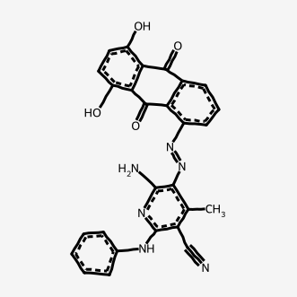 Cc1c(C#N)c(Nc2ccccc2)nc(N)c1/N=N/c1cccc2c1C(=O)c1c(O)ccc(O)c1C2=O